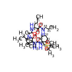 C#CCCC(NC(=O)[C@H](C)N(CCC)C(=O)[C@@H](NC(=O)NC1(CS(=O)(=O)C(C)(C)C)CCCCC1)C(C)(C)C)C(=O)C(=O)NCC=C